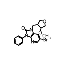 COC1COCC1Cn1c(=O)n(-c2ccccc2)c2ncc(Br)cc21